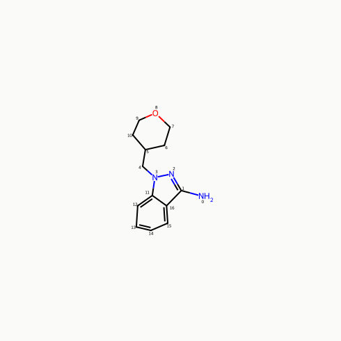 Nc1nn(CC2CCOCC2)c2ccccc12